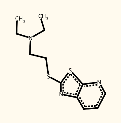 CCN(CC)CCSc1nc2cccnc2s1